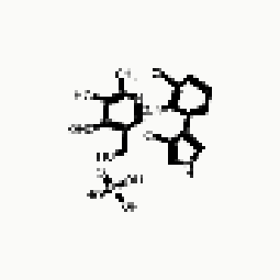 Cc1ncc(CO)c(C=O)c1O.O=P(O)(O)O.O=[N+]([O-])c1c(Cl)cccc1-c1c[nH]cc1Cl